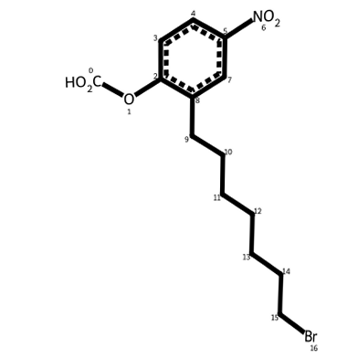 O=C(O)Oc1ccc([N+](=O)[O-])cc1CCCCCCCBr